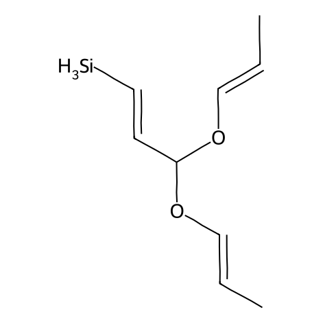 CC=COC(C=C[SiH3])OC=CC